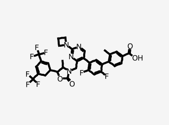 Cc1cc(C(=O)O)ccc1-c1cc(-c2cnc(N3CCC3)nc2CN2C(=O)OC(C3C=C(C(F)(F)F)C=C(C(F)(F)F)C3)C2C)c(F)cc1F